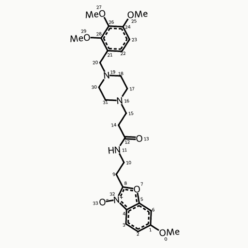 COc1ccc2c(c1)oc(CCNC(=O)CCN1CCN(Cc3ccc(OC)c(OC)c3OC)CC1)[n+]2[O-]